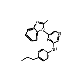 CCCc1ccc(Nc2cncc(-n3c(C)nc4ccccc43)n2)cc1